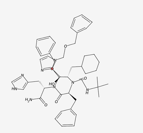 CC(C)(C)NC(=O)N([C@@H](Cc1ccccc1)C(=O)N(COCc1ccccc1)[C@@H](Cc1c[nH]cn1)C(N)=O)[C@@H](CC1CCCCC1)[C@@H](O)c1nccn1COCc1ccccc1